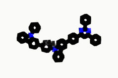 C=C(/C=C\C(=C)n1c2ccccc2c2cc(-c3ccc(-c4cc(-c5ccccc5)nc(-c5ccccc5)n4)cc3)ccc21)C1=Cc2c(c3ccccc3n2-c2ccccc2)CC1